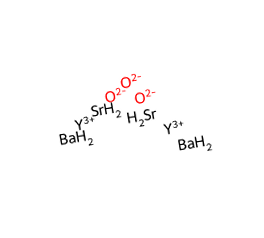 [BaH2].[BaH2].[O-2].[O-2].[O-2].[SrH2].[SrH2].[Y+3].[Y+3]